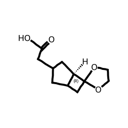 O=C(O)CC1CC2CC3(OCCO3)[C@@H]2C1